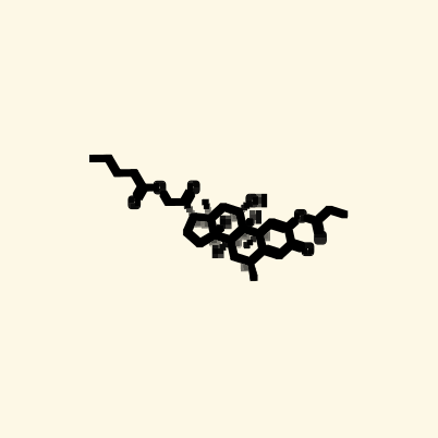 CCCCC(=O)OCC(=O)[C@H]1CC[C@H]2[C@@H]3C[C@H](C)C4=CC(=O)C(OC(=O)CC)=C[C@]4(C)[C@H]3[C@@H](O)C[C@]12C